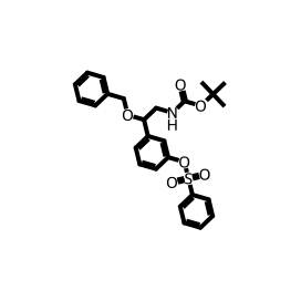 CC(C)(C)OC(=O)NCC(OCc1ccccc1)c1cccc(OS(=O)(=O)c2ccccc2)c1